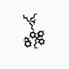 CCCC[N+](CCCC)(CCCC)C(C)=O.[BH3-]CCCC(c1ccccc1)(c1ccccc1)c1ccccc1.c1ccc2occc2c1